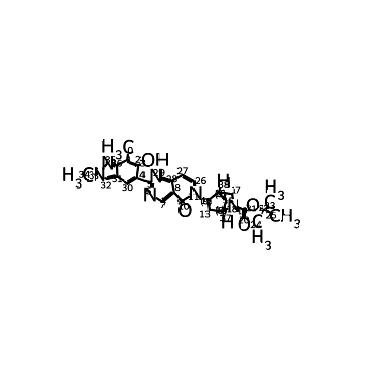 Cc1c(O)c(-c2ncc3c(=O)n([C@H]4C[C@@H]5C[C@H]4CN5C(=O)OC(C)(C)C)ccc3n2)cc2cn(C)nc12